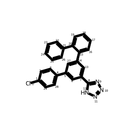 Clc1ccc(-c2cc(-c3nnn[nH]3)cc(-c3ccccc3-c3ccccc3)c2)cc1